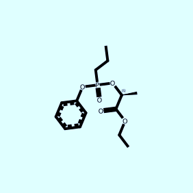 CCCP(=O)(Oc1ccccc1)O[C@@H](C)C(=O)OCC